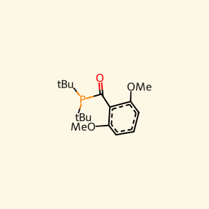 COc1cccc(OC)c1C(=O)P(C(C)(C)C)C(C)(C)C